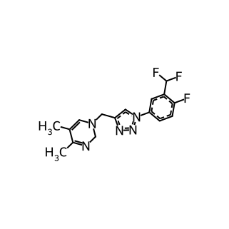 CC1=CN(Cc2cn(-c3ccc(F)c(C(F)F)c3)nn2)CN=C1C